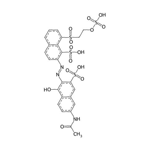 CC(=O)Nc1ccc2c(O)c(/N=N/c3ccc4cccc(S(=O)(=O)CCOS(=O)(=O)O)c4c3S(=O)(=O)O)c(S(=O)(=O)O)cc2c1